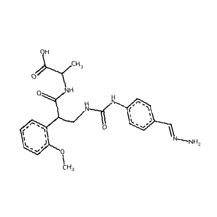 COc1ccccc1C(CNC(=O)Nc1ccc(C=NN)cc1)C(=O)NC(C)C(=O)O